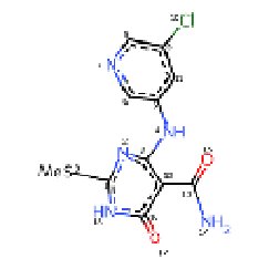 CSc1nc(Nc2cncc(Cl)c2)c(C(N)=O)c(=O)[nH]1